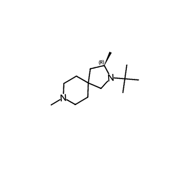 C[C@@H]1CC2(CCN(C)CC2)CN1C(C)(C)C